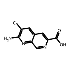 Nc1nc2cnc(C(=O)O)cc2cc1Cl